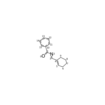 O=C(N=CC1=CCCCC1)c1ccccc1